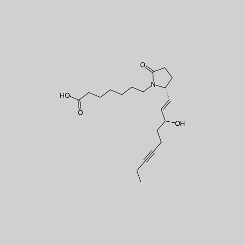 CCC#CCCC(O)/C=C/[C@H]1CCC(=O)N1CCCCCCC(=O)O